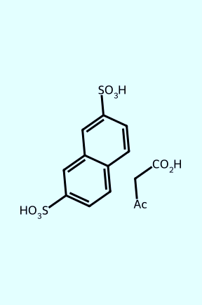 CC(=O)CC(=O)O.O=S(=O)(O)c1ccc2ccc(S(=O)(=O)O)cc2c1